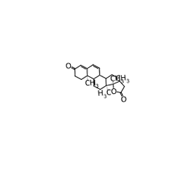 CCC1C2C=CC3=CC(=O)CC[C@]3(C)C2=CC[C@]1(C)[C@@]1(C)CCC(=O)O1